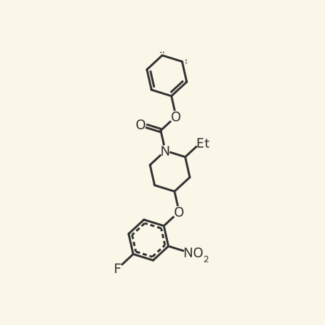 CCC1CC(Oc2ccc(F)cc2[N+](=O)[O-])CCN1C(=O)OC1=C[C][C]C=C1